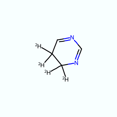 [2H]C1([2H])C=NC=NC1([2H])[2H]